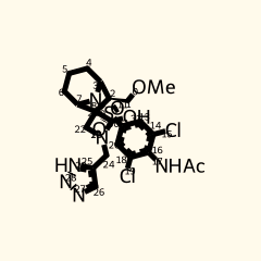 COC[C@@H]1C2CCCC(N2S(=O)(=O)c2cc(Cl)c(NC(C)=O)c(Cl)c2)C12CN(Cc1cnn[nH]1)C2O